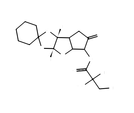 CCC(C)(C)C(=O)OC1C(=O)CC2C1O[C@@H]1OC3(CCCCC3)O[C@H]21